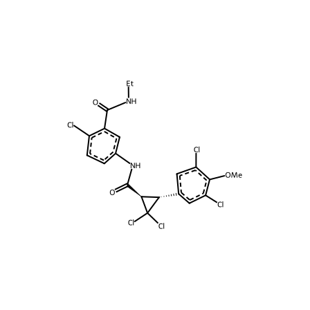 CCNC(=O)c1cc(NC(=O)[C@H]2[C@H](c3cc(Cl)c(OC)c(Cl)c3)C2(Cl)Cl)ccc1Cl